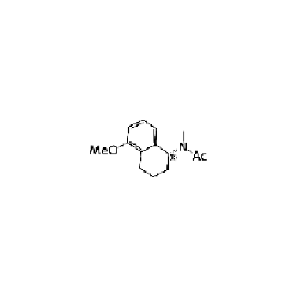 COc1cccc2c1CCC[C@H]2N(C)C(C)=O